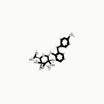 CC(=O)C(O)[C@H]1O[C@H](Oc2ccccc2Cc2ccc(C)cc2)[C@@](O)(C(C)=O)[C@](O)(C(C)=O)[C@@]1(O)C(C)=O